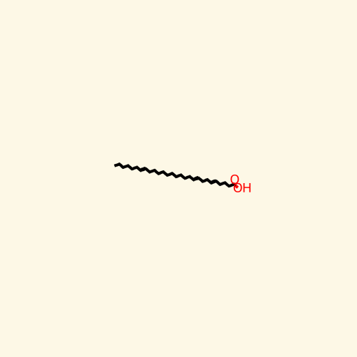 CCCCCCC=CCCCCCCCCCCC=CCCC=CCCCC(=O)O